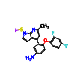 Cc1cc(-c2cc(N)ccc2Oc2ccc(F)cc2F)c2ccn(SI)c2n1